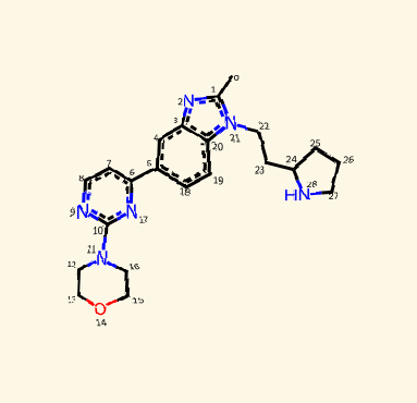 Cc1nc2cc(-c3c[c]nc(N4CCOCC4)n3)ccc2n1CCC1CCCN1